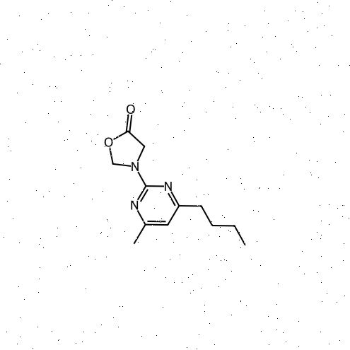 CCCCc1cc(C)nc(N2COC(=O)C2)n1